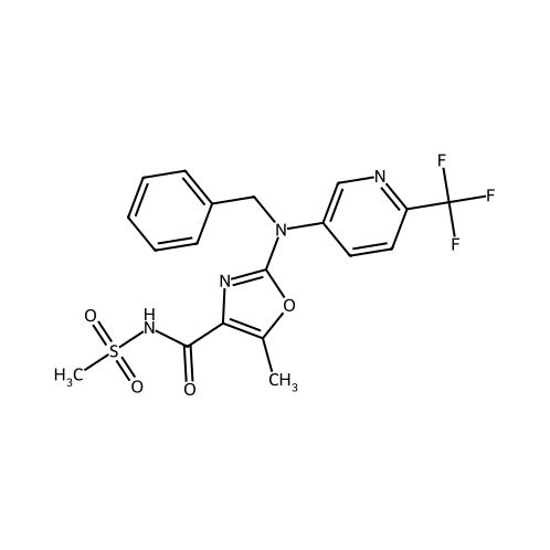 Cc1oc(N(Cc2ccccc2)c2ccc(C(F)(F)F)nc2)nc1C(=O)NS(C)(=O)=O